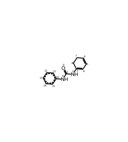 O=C(NC1=CC=CCC1)Nc1ccccc1